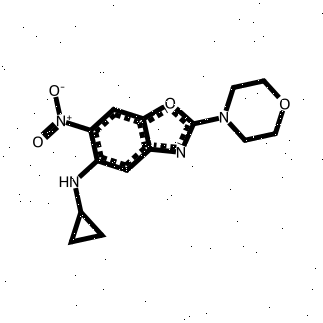 O=[N+]([O-])c1cc2oc(N3CCOCC3)nc2cc1NC1CC1